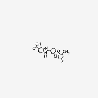 Cc1cc(F)ccc1Oc1ccc(-c2nc3cc(C(=O)O)ccc3[nH]2)cc1Cl